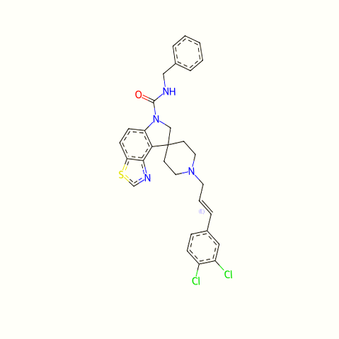 O=C(NCc1ccccc1)N1CC2(CCN(C/C=C/c3ccc(Cl)c(Cl)c3)CC2)c2c1ccc1scnc21